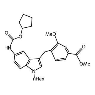 CCCCCCn1cc(Cc2ccc(C(=O)OC)cc2OC)c2cc(NC(=O)OC3CCCC3)ccc21